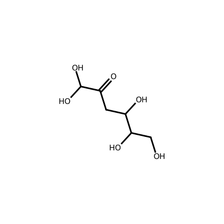 O=C(CC(O)C(O)CO)C(O)O